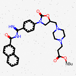 CCCCOC(=O)CCN1CCN(CC2CN(c3ccc(C(=N)NC(=O)c4ccc5ccccc5c4)cc3)C(=O)O2)CC1